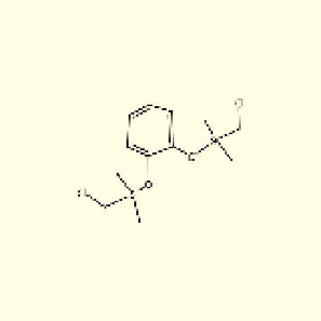 C[Si](C)(CCl)Oc1ccccc1O[Si](C)(C)CCl